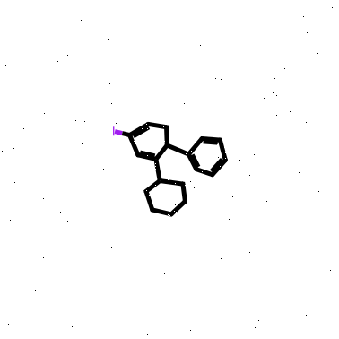 IC1=CCC(c2ccccc2)C(C2CCCCC2)=C1